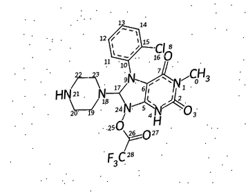 Cn1c(=O)[nH]c2c(c1=O)N(c1ccccc1Cl)C(N1CCNCC1)N2OC(=O)C(F)(F)F